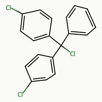 Clc1ccc(C(Cl)(c2ccccc2)c2ccc(Cl)cc2)cc1